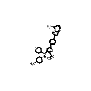 C[C@H]1CC[C@H](C(=O)N(c2cc(C3=CCC(c4cc5nccc(N)n5n4)C=C3)sc2C(=O)O)C2CCOCC2)CC1